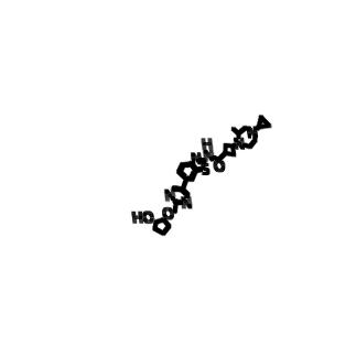 CC1CN(C2CC2)CCN1C1CC(C(=O)Nc2nc3ccc(-c4cnc(CO[C@H]5CCC[C@@H]5O)nc4)cc3s2)C1